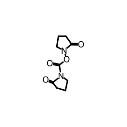 O=C1CCCN1OC(=O)N1CCCC1=O